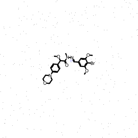 COc1cc(/C=N/N(C)C(=O)C(OC)c2ccc(N3CCOCC3)cc2)cc(OC)c1Br